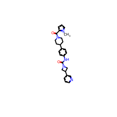 Cn1cccc1C(=O)N1CCC(c2ccc(NC(=O)N3CC(c4cccnc4)C3)cc2)CC1